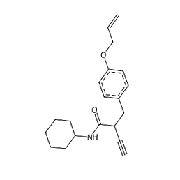 C#CC(Cc1ccc(OCC=C)cc1)C(=O)NC1CCCCC1